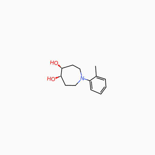 Cc1ccccc1N1CC[C@@H](O)[C@@H](O)CC1